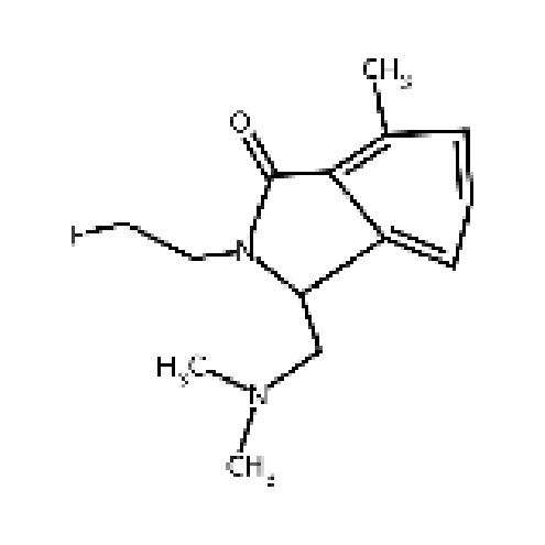 Cc1cccc2c1C(=O)N(CCF)C2CN(C)C